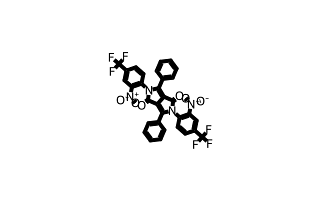 O=C1C2=C(c3ccccc3)N(c3ccc(C(F)(F)F)cc3[N+](=O)[O-])C(=O)C2=C(c2ccccc2)N1c1ccc(C(F)(F)F)cc1[N+](=O)[O-]